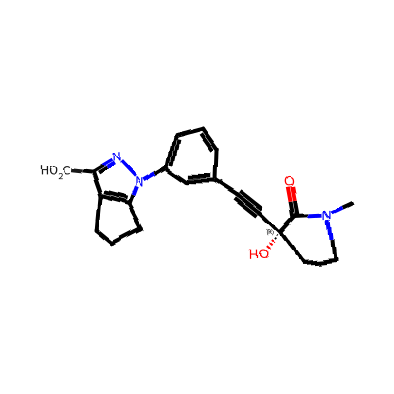 CN1CC[C@@](O)(C#Cc2cccc(-n3nc(C(=O)O)c4c3CCC4)c2)C1=O